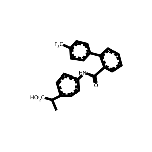 CC(C(=O)O)c1ccc(NC(=O)c2ccccc2-c2ccc(C(F)(F)F)cc2)cc1